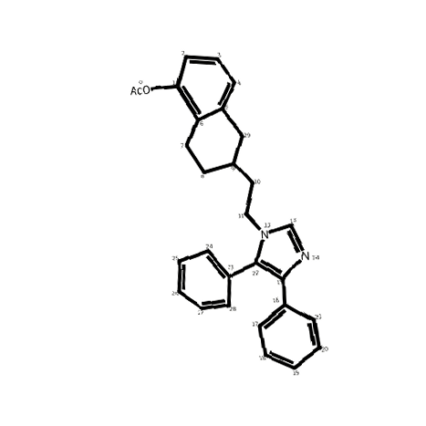 CC(=O)Oc1cccc2c1CCC(CCn1cnc(-c3ccccc3)c1-c1ccccc1)C2